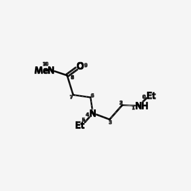 CCNCCN(CC)CCC(=O)NC